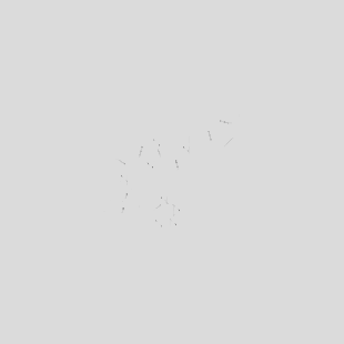 Cn1nnnc1C(C)(C)S(=O)(=O)C1(CN2CCn3c(cnc3C(=O)NCc3ccc(Cl)cc3)C2=O)CC1